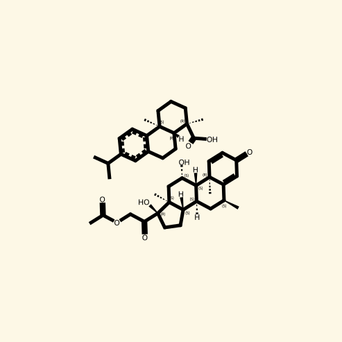 CC(=O)OCC(=O)[C@@]1(O)CC[C@H]2[C@@H]3C[C@H](C)C4=CC(=O)C=C[C@]4(C)[C@H]3[C@@H](O)C[C@@]21C.CC(C)c1ccc2c(c1)CC[C@H]1[C@](C)(C(=O)O)CCC[C@]21C